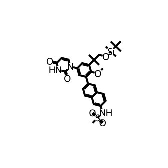 COc1c(-c2ccc3cc(NS(C)(=O)=O)ccc3c2)cc(-n2ccc(=O)[nH]c2=O)cc1C(C)(C)CO[Si](C)(C)C(C)(C)C